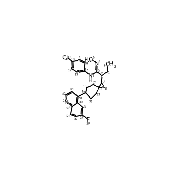 CCC(/C(=N/O)Nc1ccc(Cl)cc1)C1CC12CCC(c1ccnc3ccc(F)cc13)CC2